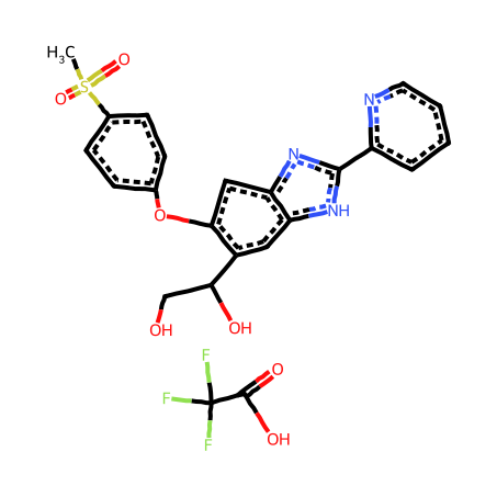 CS(=O)(=O)c1ccc(Oc2cc3nc(-c4ccccn4)[nH]c3cc2C(O)CO)cc1.O=C(O)C(F)(F)F